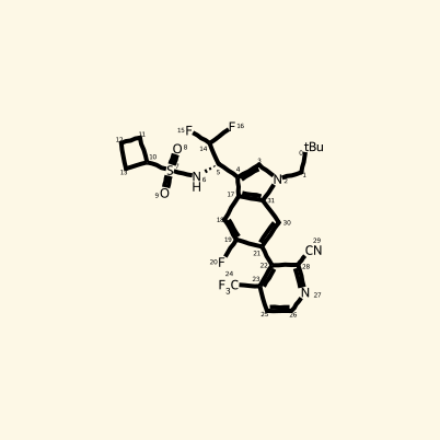 CC(C)(C)Cn1cc([C@H](NS(=O)(=O)C2CCC2)C(F)F)c2cc(F)c(-c3c(C(F)(F)F)ccnc3C#N)cc21